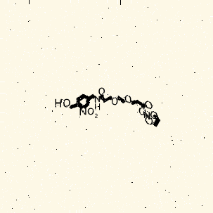 O=C(CCOCCOCCC(=O)ON1OCCO1)NCc1ccc(CO)c([N+](=O)[O-])c1